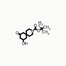 CC(C)(C)OC(=O)N1CCC2(CC1)CC(=O)CC(O)C2